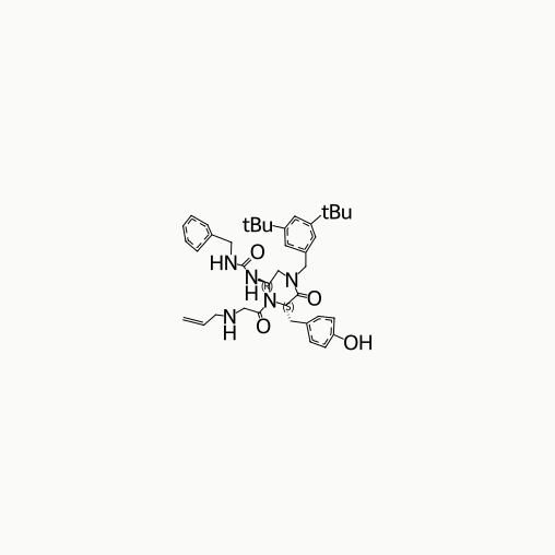 C=CCNCC(=O)N1[C@@H](NC(=O)NCc2ccccc2)CN(Cc2cc(C(C)(C)C)cc(C(C)(C)C)c2)C(=O)[C@@H]1Cc1ccc(O)cc1